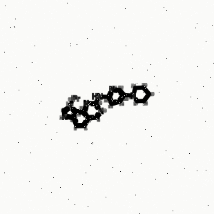 CC(C)n1cnc2ccc3cnc(Nc4ccc(N5CCCCC5)cn4)nc3c21